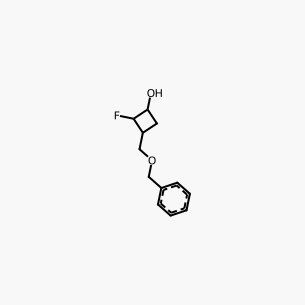 OC1CC(COCc2ccccc2)C1F